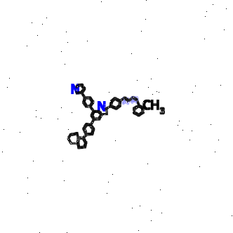 Cc1ccccc1/C=C\C=C\c1ccc(C2=Nc3c(cc(-c4ccc(-c5cccc6c5C=CCC6)cc4)cc3-c3ccc(-c4cccnc4)cc3)C2)cc1